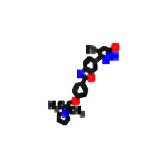 CCC1CC(=O)NN=C1c1ccc2nc(-c3ccc(OCC(C)(C)N4CCCC4)cc3)oc2c1